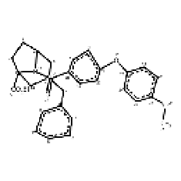 CCOC(=O)C12CCC(CN(Cc3ccccc3)C1)N2C(=O)c1ccc(Oc2ccc(OC(F)(F)F)cc2)cc1